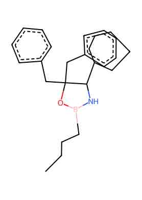 CCCCB1NC(C2CCCCC2)C(Cc2ccccc2)(Cc2ccccc2)O1